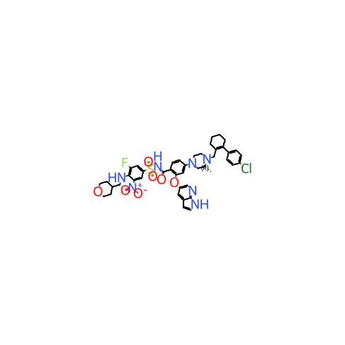 C[C@@H]1CN(c2ccc(C(=O)NS(=O)(=O)c3cc(F)c(NCC4CCOCC4)c([N+](=O)[O-])c3)c(Oc3cnc4[nH]ccc4c3)c2)CCN1CC1=C(c2ccc(Cl)cc2)CCCC1